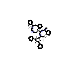 C/C=C1/C=C(N2C/C=C\C=C(\c3ccccc3S)Cc3ccccc32)\C=C(\C2=N[C@H](c3ccccc3)N(C)C(c3ccccc3)N2)CSc2ccccc21